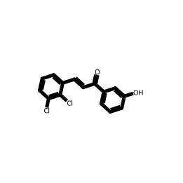 O=C(/C=C/c1cccc(Cl)c1Cl)c1cccc(O)c1